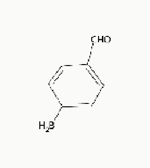 Bc1ccc(C=O)cc1